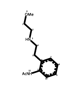 COCCNCCc1ccccc1NC(C)=O